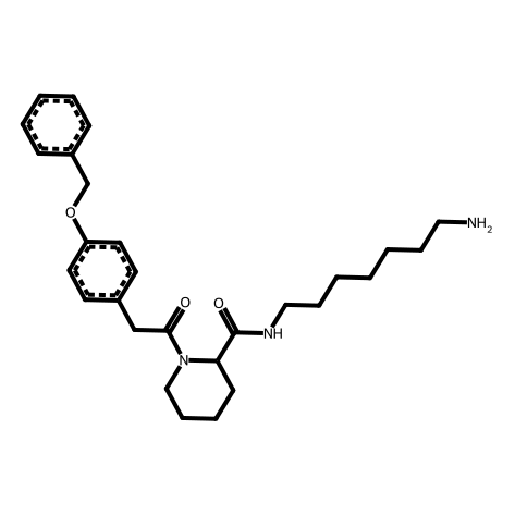 NCCCCCCCNC(=O)C1CCCCN1C(=O)Cc1ccc(OCc2ccccc2)cc1